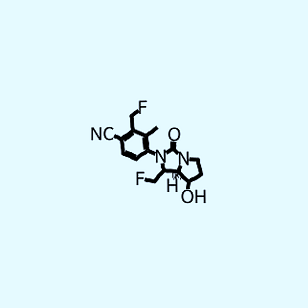 Cc1c(N2C(=O)N3CCC(O)[C@H]3C2CF)ccc(C#N)c1CF